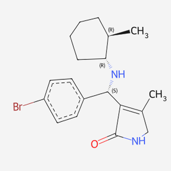 CC1=C([C@@H](N[C@@H]2CCCC[C@H]2C)c2ccc(Br)cc2)C(=O)NC1